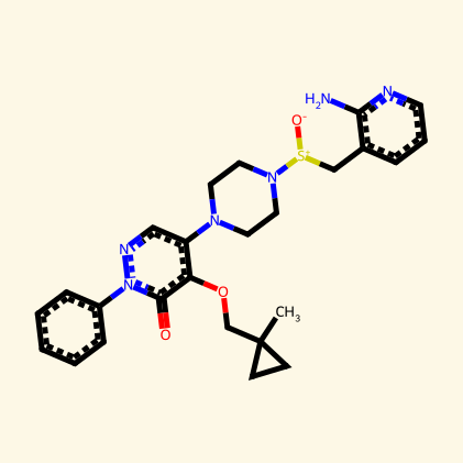 CC1(COc2c(N3CCN([S+]([O-])Cc4cccnc4N)CC3)cnn(-c3ccccc3)c2=O)CC1